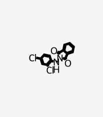 O=C1c2ccccc2C(=O)N1Nc1ccc(Cl)cc1Cl